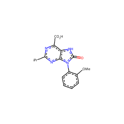 COc1ccccc1-n1c(=O)[nH]c2c(C(=O)O)nc(C(C)C)nc21